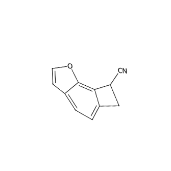 N#CC1Cc2ccc3ccoc3c21